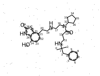 CC(C)(Cc1ccccc1)NCCC(=O)N(CCNCCc1ccc(O)c2[nH]c(=O)sc12)C1CCCC1